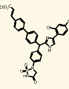 CCOC(=O)C=Cc1ccc(-c2ccc(C(c3ccc(N4CC(=O)NS4(=O)=O)cc3)c3nc(-c4ccc(Cl)cc4Cl)c[nH]3)cc2)cc1